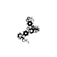 CCC1=NCCCN1c1ccc(N2CCc3c(C(F)(F)F)nn(-c4ccc(OC)cc4)c3C2=O)cc1